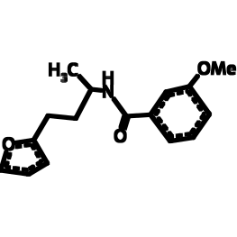 COc1cccc(C(=O)NC(C)CCc2ccco2)c1